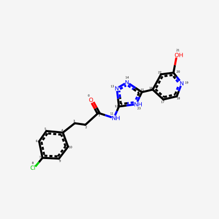 O=C(CCc1ccc(Cl)cc1)Nc1nnc(-c2ccnc(O)c2)[nH]1